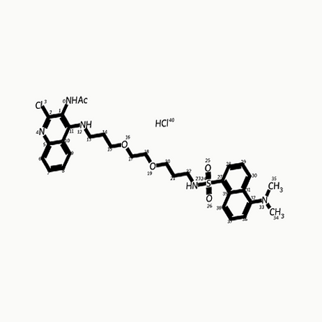 CC(=O)Nc1c(Cl)nc2ccccc2c1NCCCOCCOCCCNS(=O)(=O)c1cccc2c(N(C)C)cccc12.Cl